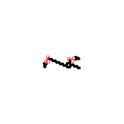 CCCCCC1CCC(CCCCCCCCC(=O)OOC(C)(C)CC)CC1C(=O)OOC(C)(C)CC